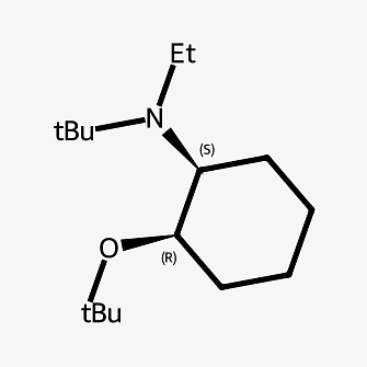 CCN([C@H]1CCCC[C@H]1OC(C)(C)C)C(C)(C)C